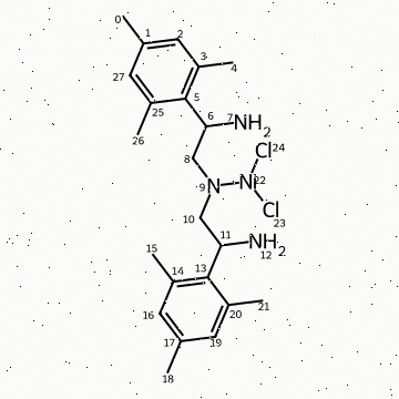 Cc1cc(C)c(C(N)C[N](CC(N)c2c(C)cc(C)cc2C)[Ni]([Cl])[Cl])c(C)c1